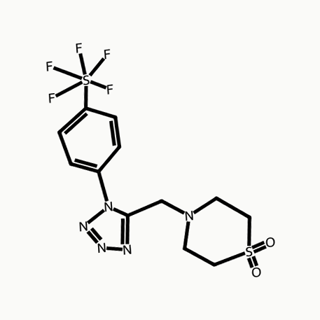 O=S1(=O)CCN(Cc2nnnn2-c2ccc(S(F)(F)(F)(F)F)cc2)CC1